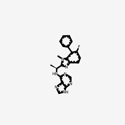 C[C@H](Nc1ncnc2[nH]cnc12)c1nc2ccc(F)c(-c3ccccc3)c2n1C